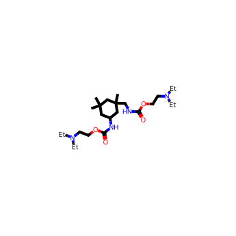 CCN(CC)CCOC(=O)NCC1(C)CC(NC(=O)OCCN(CC)CC)CC(C)(C)C1